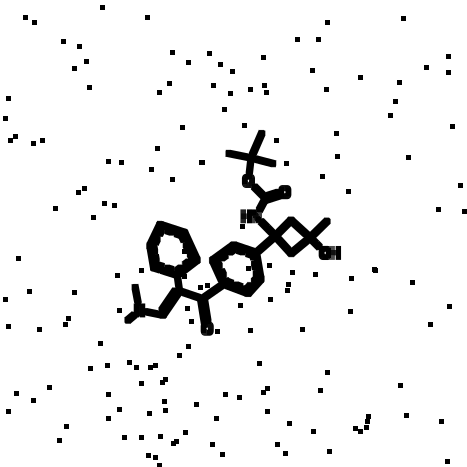 CN(C)/C=C(/C(=O)c1ccc(C2(NC(=O)OC(C)(C)C)CC(C)(O)C2)cc1)c1ccccc1